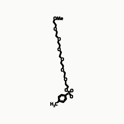 COCCOCCOCCOCCOCCOCCOCCOS(=O)(=O)c1ccc(C)cc1